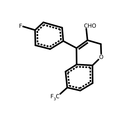 O=CC1=C(c2ccc(F)cc2)c2cc(C(F)(F)F)ccc2OC1